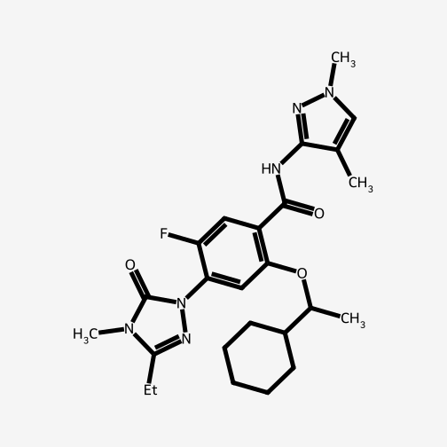 CCc1nn(-c2cc(OC(C)C3CCCCC3)c(C(=O)Nc3nn(C)cc3C)cc2F)c(=O)n1C